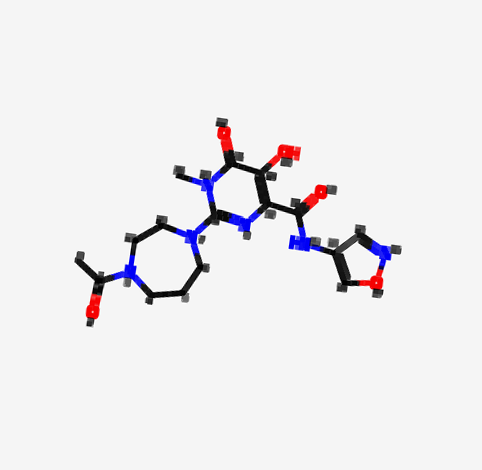 CC(=O)N1CCCN(c2nc(C(=O)Nc3cnoc3)c(O)c(=O)n2C)CC1